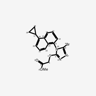 COC(=O)CSc1nnc(Br)n1-c1cccc2c(C3CC3)cccc12